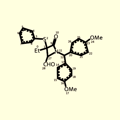 CCC1(Sc2ccccc2)C(=O)N(C(c2ccc(OC)cc2)c2ccc(OC)cc2)C1C=O